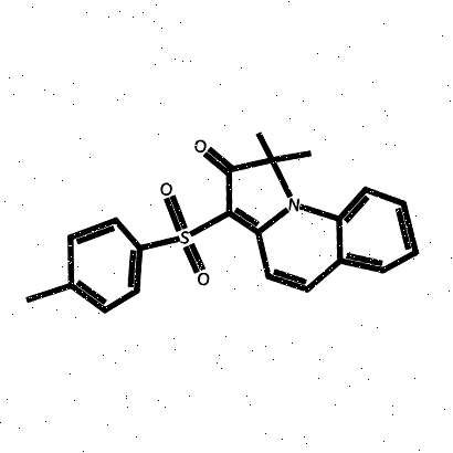 Cc1ccc(S(=O)(=O)C2=C3C=Cc4ccccc4N3C(C)(C)C2=O)cc1